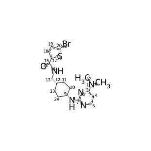 CN(C)c1ccnc(N[C@H]2CC[C@@H](CNC(=O)c3ccc(Br)s3)CC2)n1